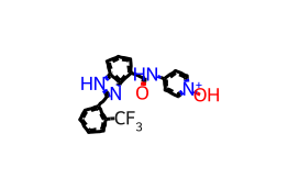 O=C(Nc1cc[n+](O)cc1)c1cccc2[nH]c(-c3ccccc3C(F)(F)F)nc12